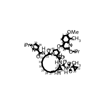 COc1ccc2c(O[C@@H]3C[C@H]4C(=O)N[C@]5(C(=O)NS(=O)(=O)C6(C)CC6)C[C@H]5/C=C\CCCCC[C@H](NC(=O)c5ccn(C(C)C)n5)C(=O)N4C3)cc(OC(C)C)nc2c1C